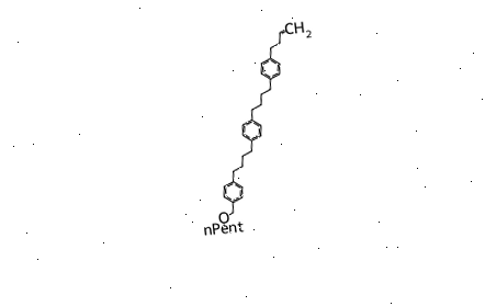 C=CCCc1ccc(CCCCc2ccc(CCCCc3ccc(COCCCCC)cc3)cc2)cc1